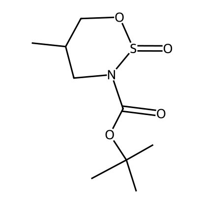 CC1COS(=O)N(C(=O)OC(C)(C)C)C1